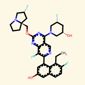 CCc1c(F)ccc2cc(O)cc(-c3ncc4c(N5C[C@@H](O)C[C@@H](F)C5)nc(OC[C@@]56CCCN5C[C@H](F)C6)nc4c3F)c12